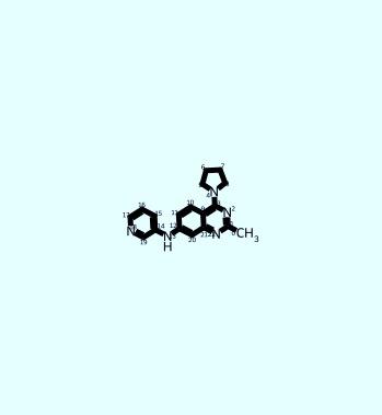 Cc1nc(N2CCCC2)c2ccc(Nc3cccnc3)cc2n1